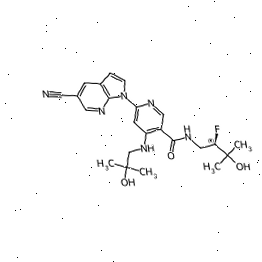 CC(C)(O)CNc1cc(-n2ccc3cc(C#N)cnc32)ncc1C(=O)NC[C@@H](F)C(C)(C)O